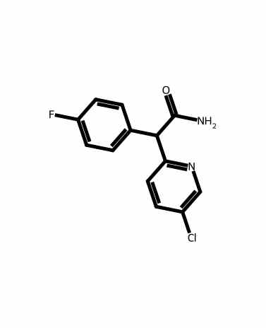 NC(=O)C(c1ccc(F)cc1)c1ccc(Cl)cn1